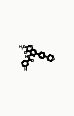 Cn1cnc2cc(-c3ccc(N4CCOCC4)cc3)nc(NC(=O)C3CCCNC3)c2c1=O